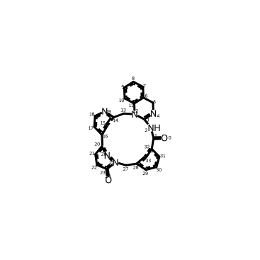 O=C1NC2=NCc3ccccc3N2Cc2cc(ccn2)-c2ccc(=O)n(n2)Cc2cccc1c2